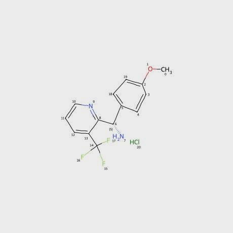 COc1ccc([C@H](N)c2ncccc2C(F)(F)F)cc1.Cl